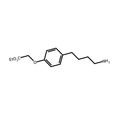 CCOC(=O)COc1ccc(CCCCN)cc1